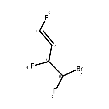 FC=CC(F)C(F)Br